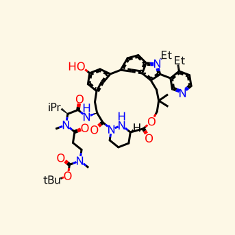 CCc1ccncc1-c1c2c3cc(ccc3n1CC)-c1cc(O)cc(c1)C[C@H](NC(=O)[C@H](C(C)C)N(C)C(=O)CCN(C)C(=O)OC(C)(C)C)C(=O)N1CCC[C@H](N1)C(=O)OCC(C)(C)C2